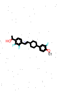 CCOc1ccc(C2CCC(/C=C/c3ccc(C(C)O)c(F)c3F)CC2)cc1F